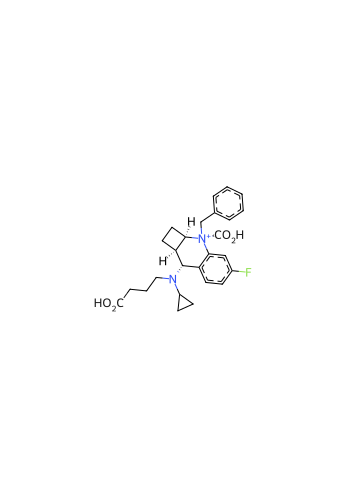 O=C(O)CCCN(C1CC1)[C@H]1c2ccc(F)cc2[N@@+](Cc2ccccc2)(C(=O)O)[C@@H]2CC[C@@H]21